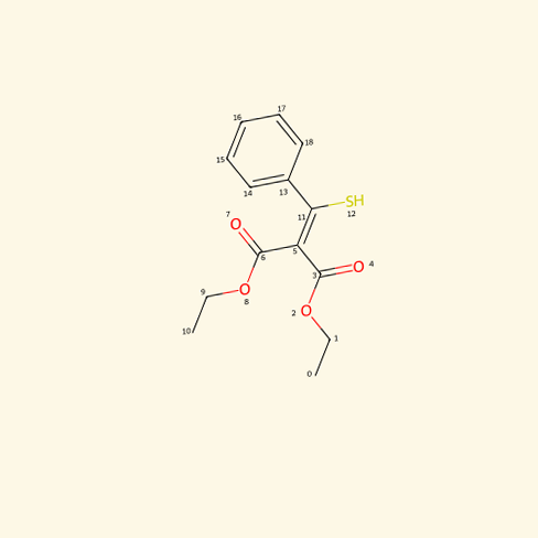 CCOC(=O)C(C(=O)OCC)=C(S)c1ccccc1